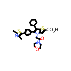 Cc1nc(C)c(-c2ccc(-c3c(C4CCCCC4)c4sc(C(=O)O)cc4n3CC(=O)N3CCOCC3)cc2)s1